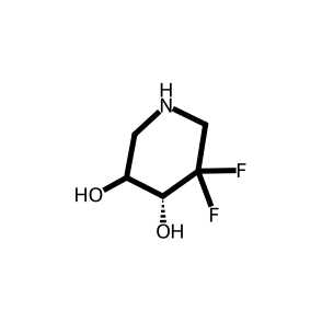 OC1CNCC(F)(F)[C@@H]1O